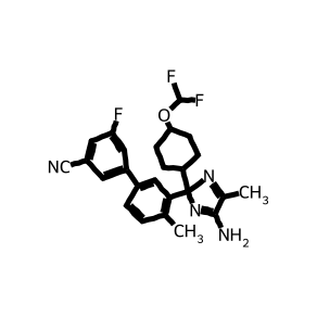 CC1=NC(c2cc(-c3cc(F)cc(C#N)c3)ccc2C)(C2CCC(OC(F)F)CC2)N=C1N